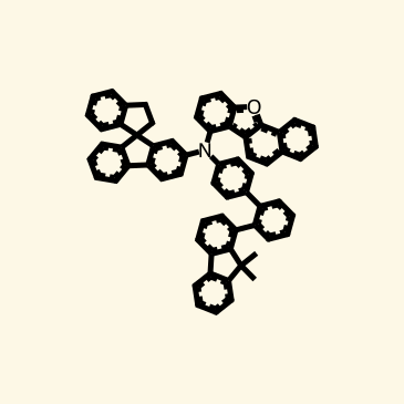 CC1(C)c2ccccc2-c2cccc(-c3ccccc3-c3ccc(N(c4ccc5c(c4)C4(CCc6ccccc64)c4ccccc4-5)c4cccc5oc6c7ccccc7ccc6c45)cc3)c21